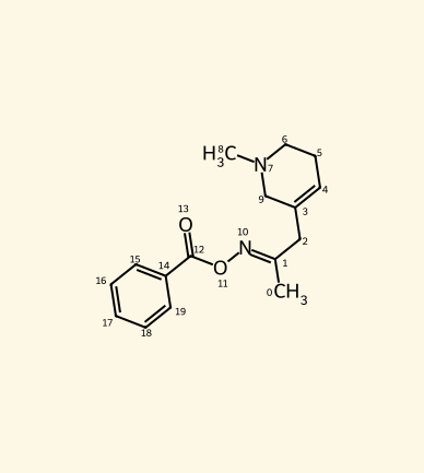 CC(CC1=CCCN(C)C1)=NOC(=O)c1ccccc1